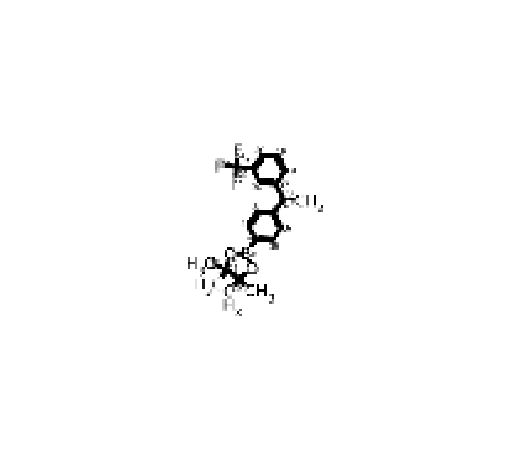 C[C@@H](c1ccc(B2OC(C)(C)C(C)(C)O2)cc1)c1cccc(C(F)(F)F)c1